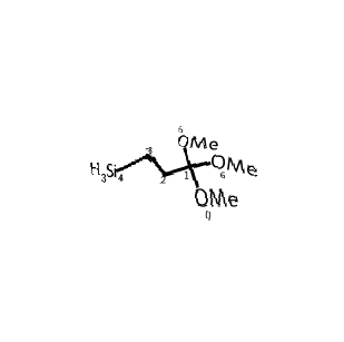 COC(CC[SiH3])(OC)OC